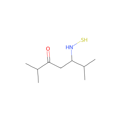 CC(C)C(=O)CC(NS)C(C)C